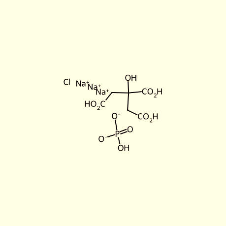 O=C(O)CC(O)(CC(=O)O)C(=O)O.O=P([O-])([O-])O.[Cl-].[Na+].[Na+].[Na+]